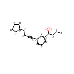 CCCC(O)c1cccc(C#CCCC2CCCC2)c1